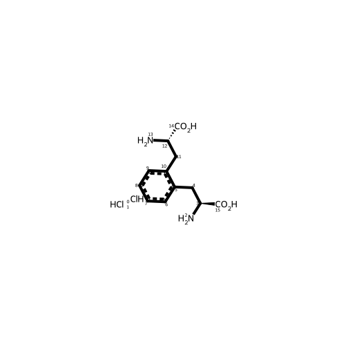 Cl.Cl.N[C@@H](Cc1ccccc1C[C@H](N)C(=O)O)C(=O)O